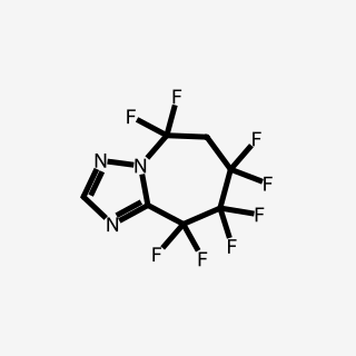 FC1(F)CC(F)(F)C(F)(F)C(F)(F)c2ncnn21